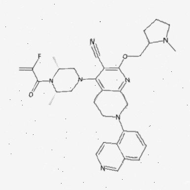 C=C(F)C(=O)N1[C@H](C)CN(c2c(C#N)c(OCC3CCCN3C)nc3c2CCN(c2cccc4cnccc24)C3)C[C@@H]1C